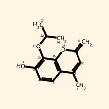 C=C1C=C(C)c2ccc(O)c(OC(C)C)c2O1